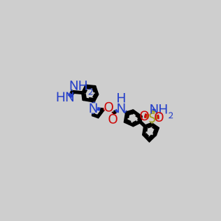 N=C(N)c1cccc(N2CCC2OC(=O)Nc2ccc(-c3ccccc3S(N)(=O)=O)cc2)c1